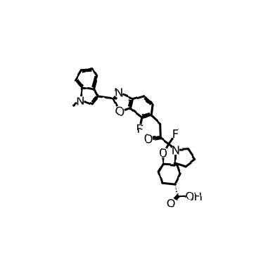 Cn1cc(-c2nc3ccc(CC(=O)C(F)(O[C@H]4CC[C@H](C(=O)O)CC4)N4CCCC4)c(F)c3o2)c2ccccc21